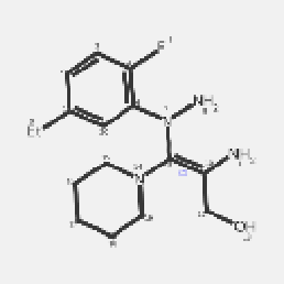 CCc1ccc(F)c(N(N)/C(=C(\N)CO)N2CCCCC2)c1